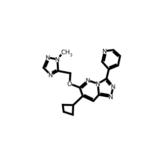 Cn1ncnc1COc1nn2c(-c3cccnc3)nnc2cc1C1CCC1